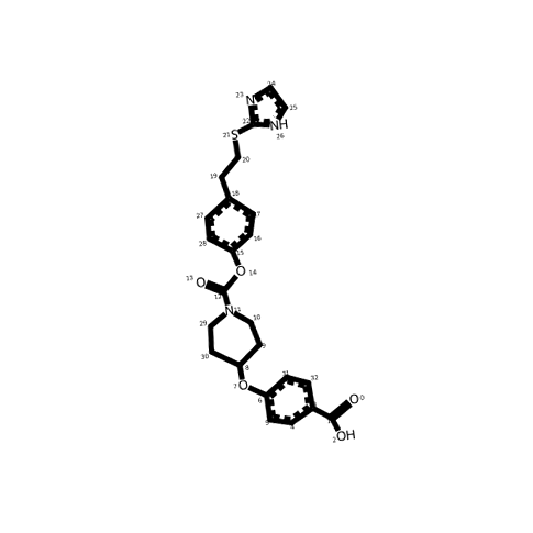 O=C(O)c1ccc(OC2CCN(C(=O)Oc3ccc(CCSc4ncc[nH]4)cc3)CC2)cc1